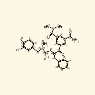 CCCN(CCC)C(=O)c1cc(C(N)=O)cc(C(=O)N(Cc2ccccc2)C[C@@H](O)[C@@H](N)Cc2ccc(C)c(F)c2)c1